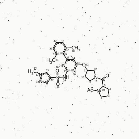 CC(=O)N1CCC[C@@H]1C(=O)N1CCC(Oc2cc(-c3c(C)cccc3C)nc(NS(=O)(=O)c3cnn(C)c3)n2)C1